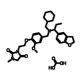 CCC(c1ccc2c(c1)CCO2)N(Cc1ccc(OCCN2C(=O)CN(C)C2=O)c(OC)c1)CC1CCCCC1.O=C(O)O